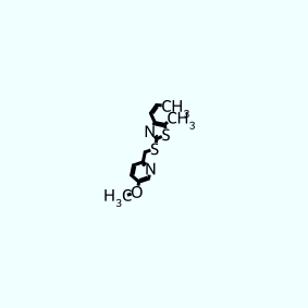 C/C=C\c1nc(SCc2ccc(OC)cn2)sc1C